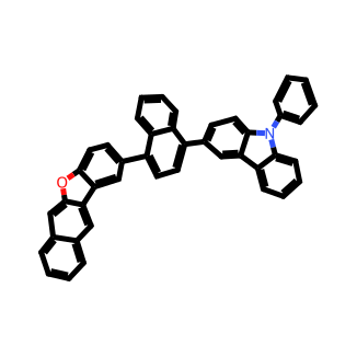 c1ccc(-n2c3ccccc3c3cc(-c4ccc(-c5ccc6oc7cc8ccccc8cc7c6c5)c5ccccc45)ccc32)cc1